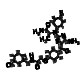 CC(C(N)=O)N(c1ccc(F)cc1)c1nc(N)c(C(=O)c2ccc(OCC(=O)NCc3cccc(Cl)c3)cc2)s1